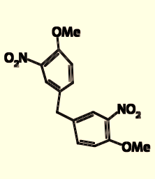 COc1ccc(Cc2ccc(OC)c([N+](=O)[O-])c2)cc1[N+](=O)[O-]